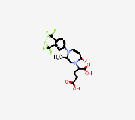 CC1CN(C(CCC(=O)O)C(=O)O)C(=O)C=CN1c1ccc(C(F)(F)F)c(C(F)(F)F)c1